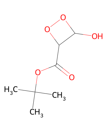 CC(C)(C)OC(=O)C1OOC1O